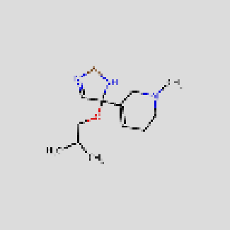 CC(C)COC1(C2=CCCN(C)C2)C=NSN1